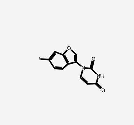 O=c1ccn(-c2coc3cc(I)ccc23)c(=O)[nH]1